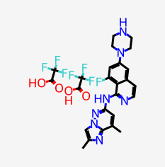 Cc1cn2nc(Nc3nccc4cc(N5CCNCC5)cc(F)c34)cc(C)c2n1.O=C(O)C(F)(F)F.O=C(O)C(F)(F)F